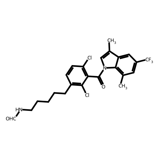 Cc1cn(C(=O)c2c(Cl)ccc(CCCCCNC=O)c2Cl)c2c(C)cc(C(F)(F)F)cc12